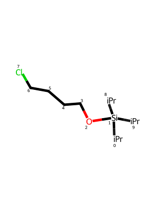 CC(C)[Si](OCCCCCl)(C(C)C)C(C)C